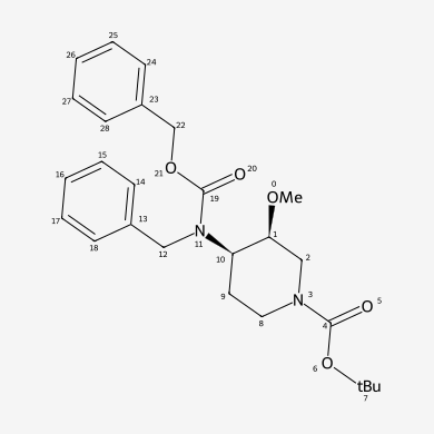 CO[C@H]1CN(C(=O)OC(C)(C)C)CC[C@H]1N(Cc1ccccc1)C(=O)OCc1ccccc1